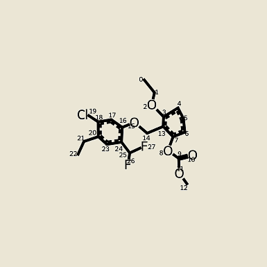 CCOc1cccc(OC(=O)OC)c1COc1cc(Cl)c(CC)cc1C(F)F